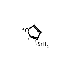 [SrH2].c1ccoc1